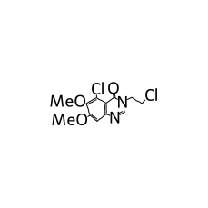 COc1cc2ncn(CCCl)c(=O)c2c(Cl)c1OC